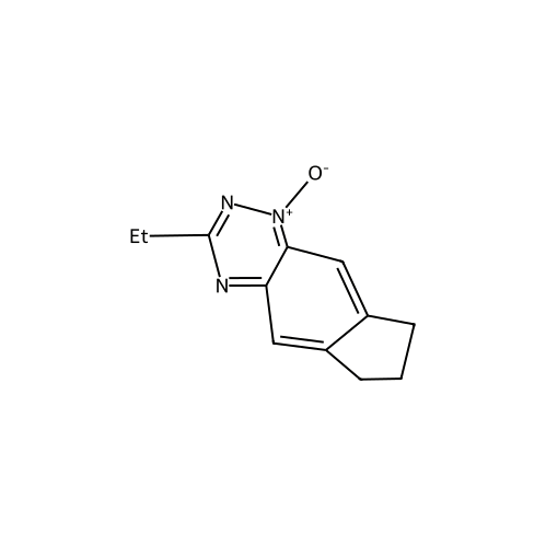 CCc1nc2cc3c(cc2[n+]([O-])n1)CCC3